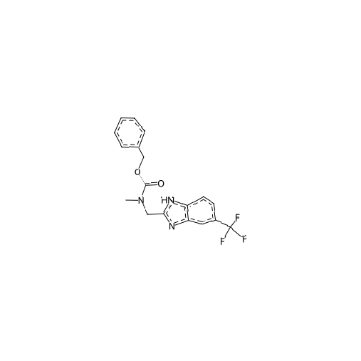 CN(Cc1nc2cc(C(F)(F)F)ccc2[nH]1)C(=O)OCc1ccccc1